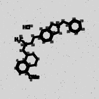 COc1cccc2c1CCCC2CN(C)CCc1ccc2c(c1)CN(Cc1ccccc1)C2.Cl